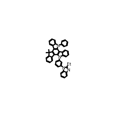 CCc1nc2ccccc2n1-c1cccc(-n2c3ccccc3c3c2c2c(c4c5ccccc5n(-c5ccccc5)c43)C(C)(C)c3ccccc3-2)c1